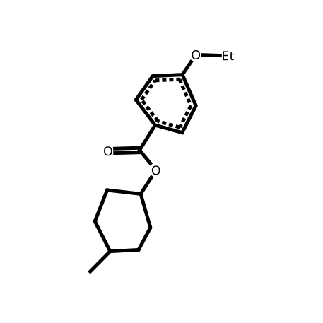 CCOc1ccc(C(=O)OC2CCC(C)CC2)cc1